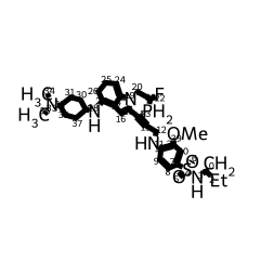 C=C(CC)NS(=O)(=O)c1ccc(NCC#Cc2cc3c(n2CC(F)P)=CCCC=3NC2CCC(N(C)C)CC2)c(OC)c1